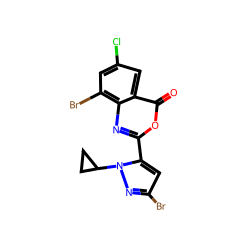 O=c1oc(-c2cc(Br)nn2C2CC2)nc2c(Br)cc(Cl)cc12